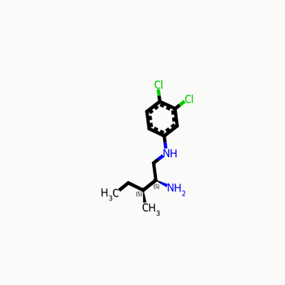 CC[C@H](C)[C@H](N)CNc1ccc(Cl)c(Cl)c1